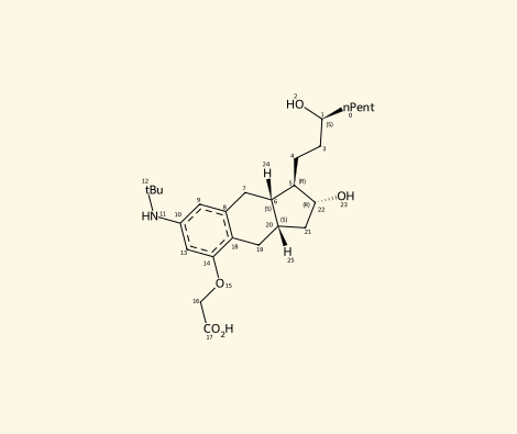 CCCCC[C@H](O)CC[C@@H]1[C@H]2Cc3cc(NC(C)(C)C)cc(OCC(=O)O)c3C[C@H]2C[C@H]1O